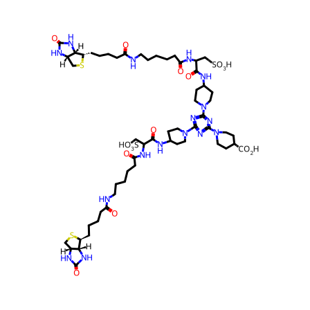 O=C(CCCC[C@@H]1SC[C@@H]2NC(=O)N[C@@H]21)NCCCCCC(=O)NC(CS(=O)(=O)O)C(=O)NC1CCN(c2nc(N3CCC(NC(=O)C(CS(=O)(=O)O)NC(=O)CCCCCNC(=O)CCCC[C@@H]4SC[C@H]5NC(=O)N[C@@H]45)CC3)nc(N3CCC(C(=O)O)CC3)n2)CC1